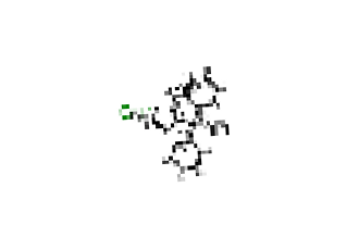 CCCC(C1=[C]([Zr+2])CC=C1)(c1ccccc1)c1ccccc1.[Cl-].[Cl-]